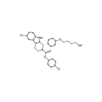 O=C(Oc1ccc(Cl)cc1)N1CCc2c([nH]c3ccc(Cl)cc23)[C@@H]1c1ccc(OCCCCO)cc1